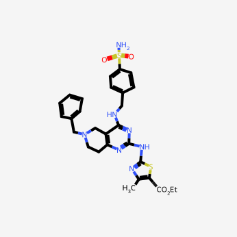 CCOC(=O)c1sc(Nc2nc3c(c(NCc4ccc(S(N)(=O)=O)cc4)n2)CN(Cc2ccccc2)CC3)nc1C